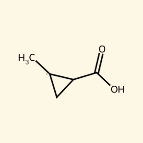 C[C]1CC1C(=O)O